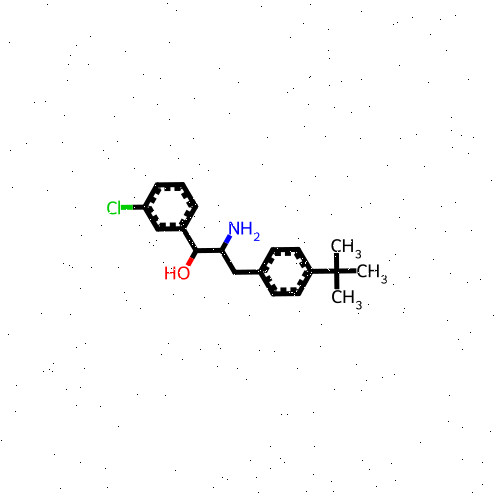 CC(C)(C)c1ccc(CC(N)C(O)c2cccc(Cl)c2)cc1